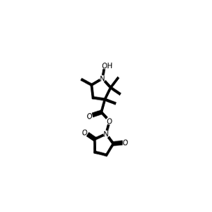 CC1CC(C)(C(=O)ON2C(=O)CCC2=O)C(C)(C)N1O